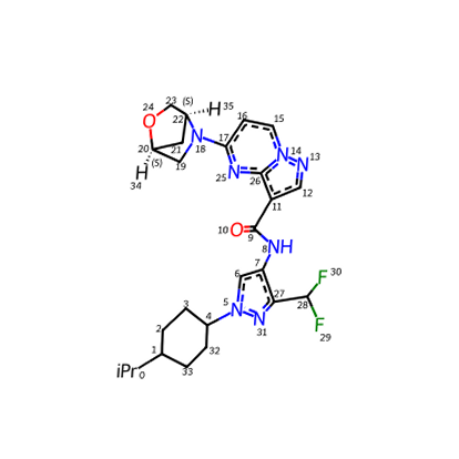 CC(C)C1CCC(n2cc(NC(=O)c3cnn4ccc(N5C[C@@H]6C[C@H]5CO6)nc34)c(C(F)F)n2)CC1